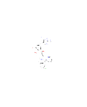 COc1cc(Cc2cnc(N)nc2N)cc(C(=O)/C=C/N2CCc3ccc(Cl)cc3C2c2ccccn2)c1OC